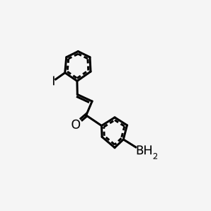 Bc1ccc(C(=O)C=Cc2ccccc2I)cc1